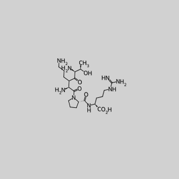 C[C@@H](O)[C@H](N)C(=O)C(CCCN)[C@H](N)C(=O)N1CCC[C@H]1C(=O)N[C@@H](CCCNC(=N)N)C(=O)O